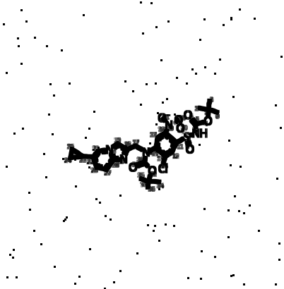 CC(C)(C)OC(=O)NS(=O)(=O)c1cc(Cl)c(N(Cc2cn3cc(C4CC4)ccc3n2)C(=O)OC(C)(C)C)cc1[N+](=O)[O-]